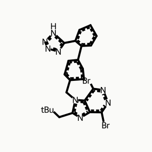 CC(C)(C)Cc1nc2c(Br)nnc(Br)c2n1Cc1ccc(-c2ccccc2-c2nnn[nH]2)cc1